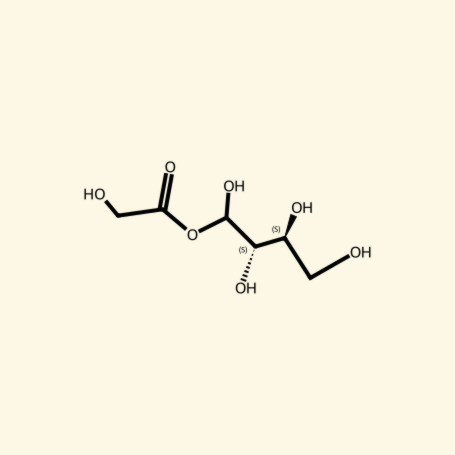 O=C(CO)OC(O)[C@@H](O)[C@@H](O)CO